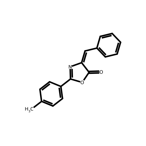 Cc1ccc(C2=N/C(=C/c3ccccc3)C(=O)O2)cc1